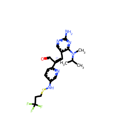 CC(C)N(C)c1nc(N)ncc1/C=C(\C=O)c1ccc(NSCCC(F)(F)F)cn1